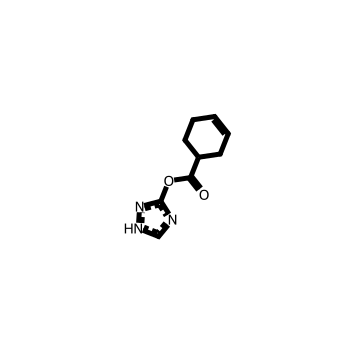 O=C(Oc1nc[nH]n1)C1CC=CCC1